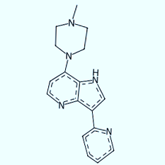 CN1CCN(c2ccnc3c(-c4ccccn4)c[nH]c23)CC1